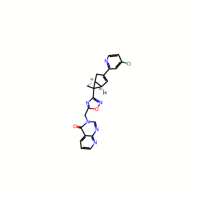 O=c1c2cccnc2ncn1Cc1nc(C23C[C@@]24CC(c2cc(Cl)ccn2)=C[C@@H]34)no1